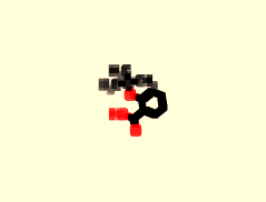 C[Si](C)(C)Oc1ccccc1C(=O)O